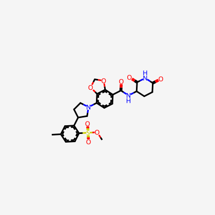 COS(=O)(=O)c1ccc(C)cc1C1CCN(c2ccc(C(=O)NC3CCC(=O)NC3=O)c3c2OCO3)C1